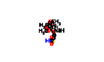 CC(=O)Oc1c(C)c(C)c(OC(C)=O)c(CCCOc2ccc(CC3SC(=O)NC3=O)cc2)c1C.[NaH]